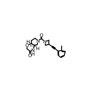 Cc1ccccc1C#CC1CN(C(=O)N2CC[C@@H]3OCC(=O)N[C@@H]3C2)C1